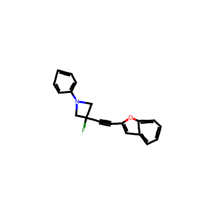 FC1(C#Cc2cc3ccccc3o2)CN(c2ccccc2)C1